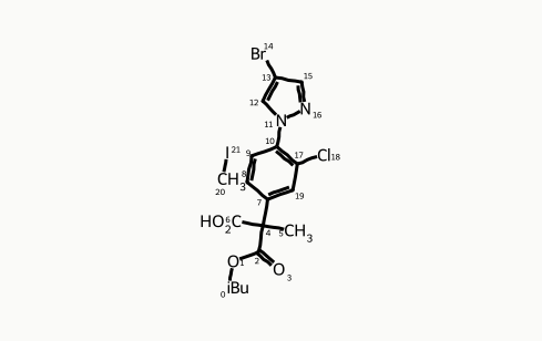 CCC(C)OC(=O)C(C)(C(=O)O)c1ccc(-n2cc(Br)cn2)c(Cl)c1.CI